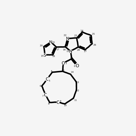 O=C(OC1CCCCCCCCCCC1)n1c(-c2cscn2)nc2ccccc21